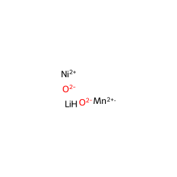 [LiH].[Mn+2].[Ni+2].[O-2].[O-2]